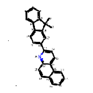 CC1(C)c2ccccc2-c2ccc(-c3ccc4c(ccc5ccccc54)n3)cc21